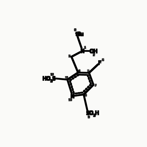 CC(C)(C)N(O)Cc1c(F)cc(S(=O)(=O)O)nc1S(=O)(=O)O